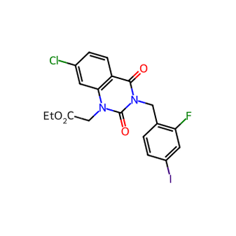 CCOC(=O)Cn1c(=O)n(Cc2ccc(I)cc2F)c(=O)c2ccc(Cl)cc21